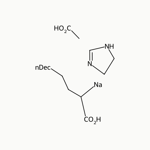 C1=NCCN1.CC(=O)O.CCCCCCCCCCCC[CH]([Na])C(=O)O